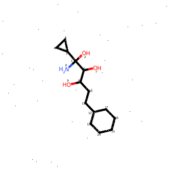 NC(O)(C1CC1)C(O)C(O)CCC1CCCCC1